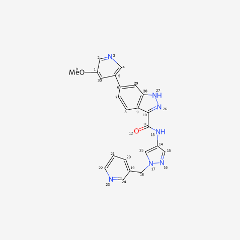 COc1cncc(-c2ccc3c(C(=O)Nc4cnn(Cc5cccnc5)c4)n[nH]c3c2)c1